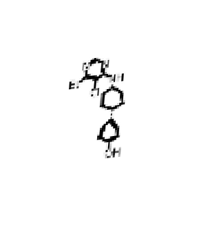 CCc1ncnc(N[C@H]2CC[C@@H](c3ccc(O)cc3)CC2)c1Cl